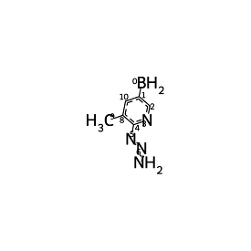 Bc1cnc(N=NN)c(C)c1